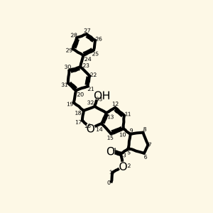 CCOC(=O)C1CCCC1c1ccc2c(c1)OCC(Cc1ccc(-c3ccccc3)cc1)C2O